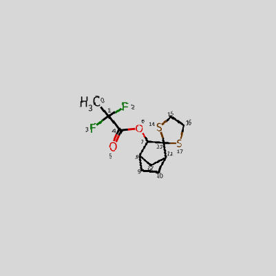 CC(F)(F)C(=O)OC1C2CCC(C2)C12SCCS2